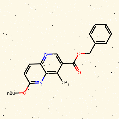 CCCCOc1ccc2ncc(C(=O)OCc3ccccc3)c(C)c2n1